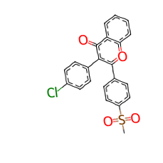 CS(=O)(=O)c1ccc(-c2oc3ccccc3c(=O)c2-c2ccc(Cl)cc2)cc1